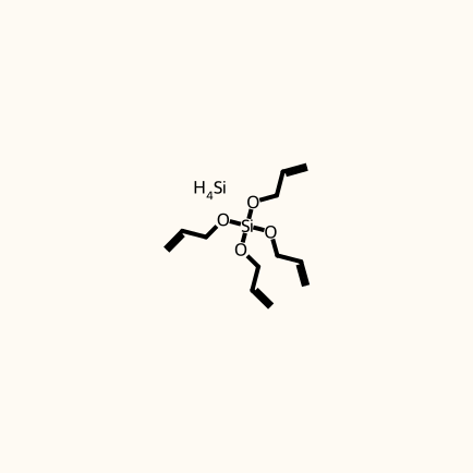 C=CCO[Si](OCC=C)(OCC=C)OCC=C.[SiH4]